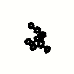 c1ccc(-c2ccc(-c3cccc4oc5cc(-n6c7ccccc7c7cccc(-c8nc(-c9ccccc9)nc(-c9ccccc9)n8)c76)ccc5c34)cc2)cc1